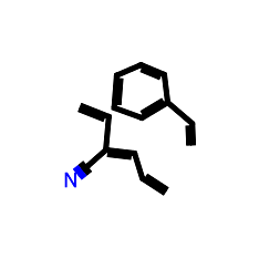 C=CC=C(C#N)C=C.C=Cc1ccccc1